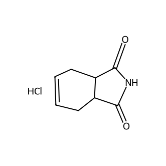 Cl.O=C1NC(=O)C2CC=CCC12